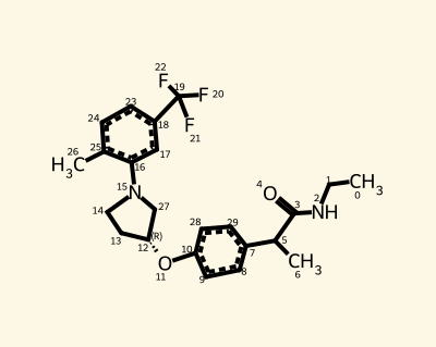 CCNC(=O)C(C)c1ccc(O[C@@H]2CCN(c3cc(C(F)(F)F)ccc3C)C2)cc1